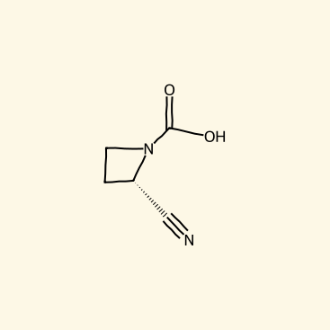 N#C[C@@H]1CCN1C(=O)O